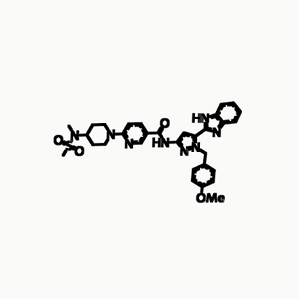 COc1ccc(Cn2nc(NC(=O)c3ccc(N4CCC(N(C)S(C)(=O)=O)CC4)nc3)cc2-c2nc3ccccc3[nH]2)cc1